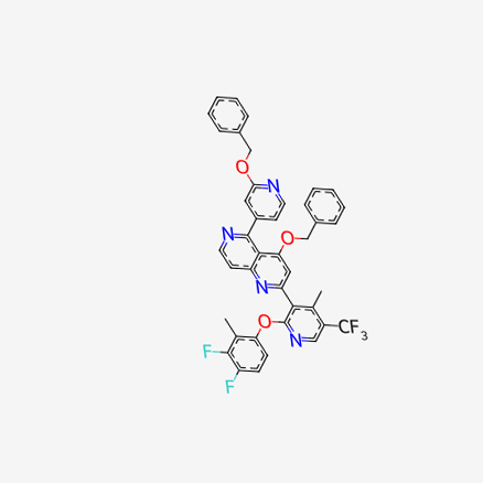 Cc1c(Oc2ncc(C(F)(F)F)c(C)c2-c2cc(OCc3ccccc3)c3c(-c4ccnc(OCc5ccccc5)c4)nccc3n2)ccc(F)c1F